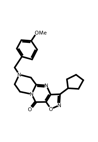 COc1ccc(CN2CCn3c(nc4c(C5CCCC5)noc4c3=O)C2)cc1